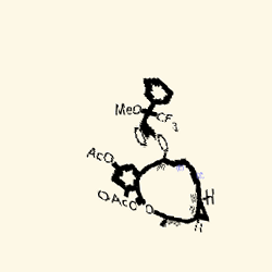 COC(C(=O)O[C@H]1/C=C/C=C\[C@H]2C[C@@H]2C[C@@H](C)OC(=O)c2c(cc(OC(C)=O)cc2OC(C)=O)C1)(c1ccccc1)C(F)(F)F